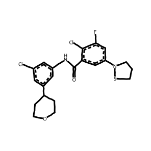 O=C(Nc1cc(Cl)cc(C2CCOCC2)c1)c1cc(N2CCCS2)cc(F)c1Cl